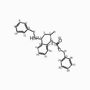 CC1CC(NCc2ccccc2)c2ccccc2N1C(=O)OCc1ccccc1